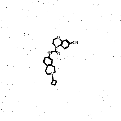 N#Cc1ccc2c(c1)OCCN2C(=O)Nc1ccc2c(c1)CCN(C1CCC1)CC2